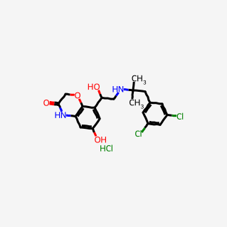 CC(C)(Cc1cc(Cl)cc(Cl)c1)NCC(O)c1cc(O)cc2c1OCC(=O)N2.Cl